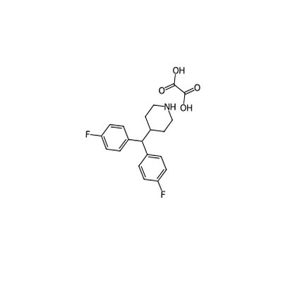 Fc1ccc(C(c2ccc(F)cc2)C2CCNCC2)cc1.O=C(O)C(=O)O